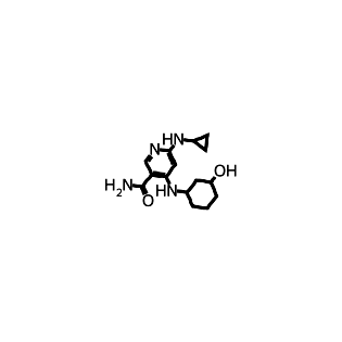 NC(=O)c1cnc(NC2CC2)cc1NC1CCCC(O)C1